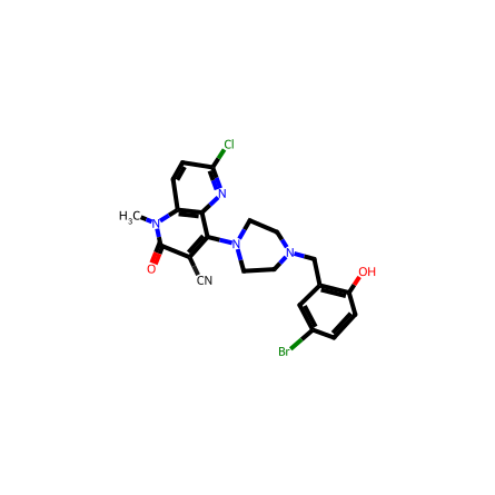 Cn1c(=O)c(C#N)c(N2CCN(Cc3cc(Br)ccc3O)CC2)c2nc(Cl)ccc21